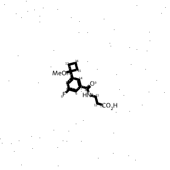 COC1(c2cc(F)cc(C(=O)NCCC(=O)O)c2)CCC1